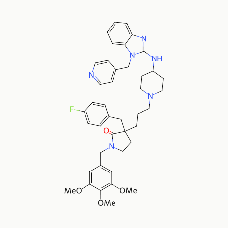 COc1cc(CN2CCC(CCCN3CCC(Nc4nc5ccccc5n4Cc4ccncc4)CC3)(Cc3ccc(F)cc3)C2=O)cc(OC)c1OC